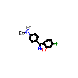 CCN(CC)c1ccc(-c2noc3cc(F)ccc23)cc1